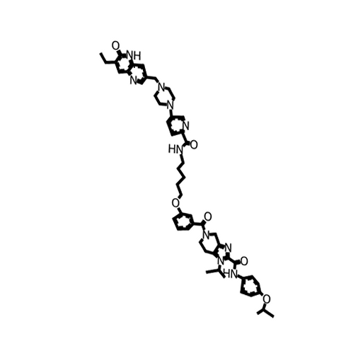 CCc1cc2ncc(CN3CCN(c4ccc(C(=O)NCCCCCOc5cccc(C(=O)N6CCc7c(nc(C(=O)Nc8ccc(OC(C)C)cc8)n7C(C)C)C6)c5)nc4)CC3)cc2[nH]c1=O